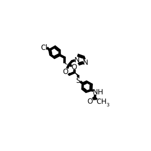 CC(=O)Nc1ccc(SC[C@H]2CO[C@@](CCc3ccc(Cl)cc3)(Cn3ccnc3)O2)cc1